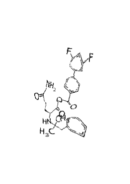 CC(C)(Cc1ccccc1)N[C@@H](CCC(N)=O)C(=O)OC(=O)c1ccc(-c2cc(F)cc(F)c2)cc1